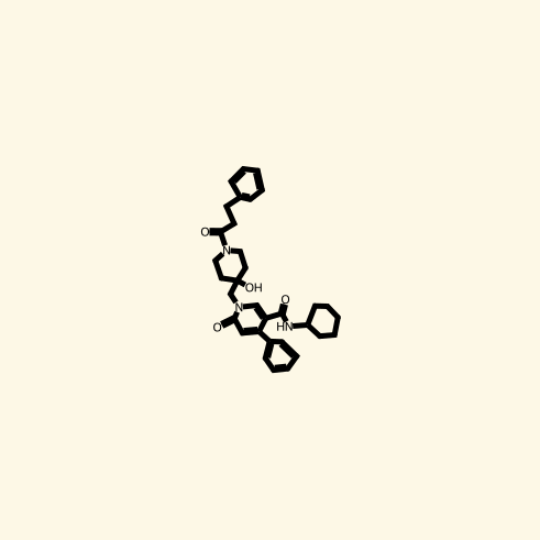 O=C(NC1CCCCC1)c1cn(CC2(O)CCN(C(=O)CCc3ccccc3)CC2)c(=O)cc1-c1ccccc1